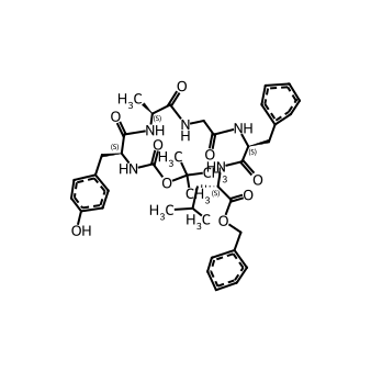 CC(C)C[C@H](NC(=O)[C@H](Cc1ccccc1)NC(=O)CNC(=O)[C@H](C)NC(=O)[C@H](Cc1ccc(O)cc1)NC(=O)OC(C)(C)C)C(=O)OCc1ccccc1